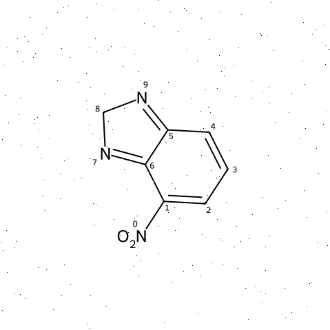 O=[N+]([O-])c1cccc2c1=NCN=2